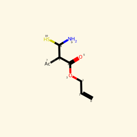 C=CCOC(=O)C(C(C)=O)C(N)S